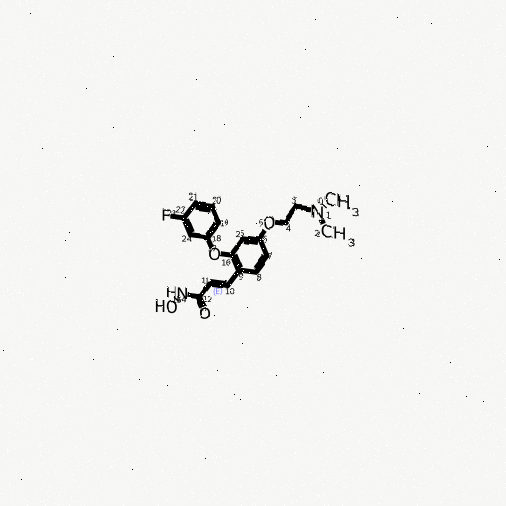 CN(C)CCOc1ccc(/C=C/C(=O)NO)c(Oc2cccc(F)c2)c1